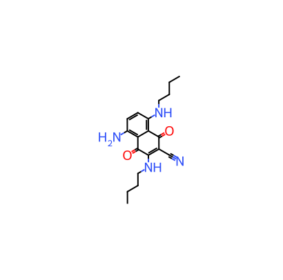 CCCCNC1=C(C#N)C(=O)c2c(NCCCC)ccc(N)c2C1=O